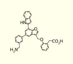 NCc1cccc(-c2cc(-c3cc4ccccc4[nH]3)c3occ(COc4ccccc4CC(=O)O)c3c2)c1